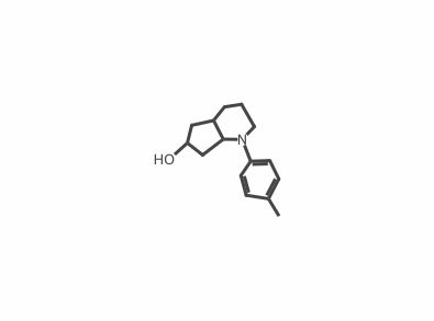 Cc1ccc(N2CCCC3CC(O)CC32)cc1